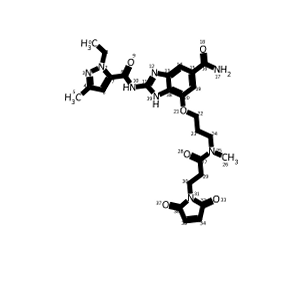 CCn1nc(C)cc1C(=O)Nc1nc2cc(C(N)=O)cc(OCCCN(C)C(=O)CCN3C(=O)C=CC3=O)c2[nH]1